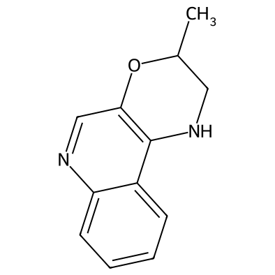 CC1CNc2c(cnc3ccccc23)O1